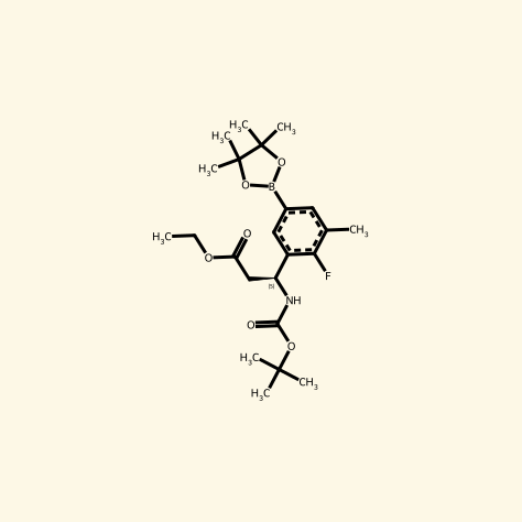 CCOC(=O)C[C@H](NC(=O)OC(C)(C)C)c1cc(B2OC(C)(C)C(C)(C)O2)cc(C)c1F